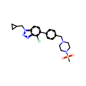 CS(=O)(=O)N1CCN(Cc2ccc(-c3ccc4c(nnn4CC4CC4)c3Cl)cc2)CC1